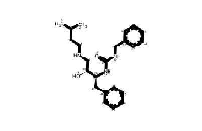 CC(C)CCNC[C@@H](O)[C@H](Cc1ccccc1)NC(=O)NCc1ccccc1